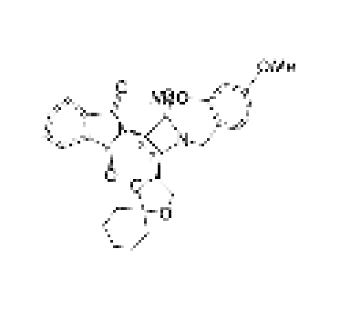 COc1ccc(CN2C(=O)[C@H](N3C(=O)c4ccccc4C3=O)[C@@H]2C2COC3(CCCCC3)O2)c(OC)c1